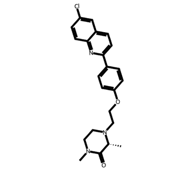 C[C@@H]1C(=O)N(C)CCN1CCOc1ccc(-c2ccc3cc(Cl)ccc3n2)cc1